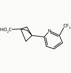 O=C(O)C12CC(c3cccc(C(F)(F)F)n3)(C1)C2